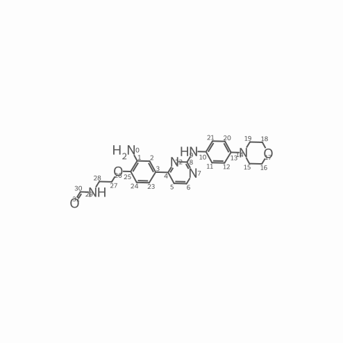 Nc1cc(-c2ccnc(Nc3ccc(N4CCOCC4)cc3)n2)ccc1OCCNC=O